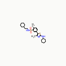 Cc1ccc(-c2sc(NC3CCCCC3)nc2C)cc1S(=O)(=O)NCCC1CCCCC1